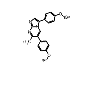 Cc1nc2ncc(-c3ccc(OC(C)(C)C)cc3)n2cc1-c1ccc(OC(C)C)cc1